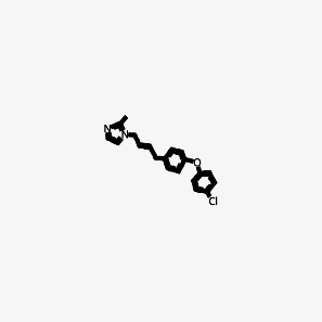 Cc1nccn1CC=CCc1ccc(Oc2ccc(Cl)cc2)cc1